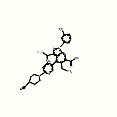 CCc1c(C(=O)O)nc2c(c(C(C)C)nn2-c2cccc(C)c2)c1-c1ccc(N2CCC(C#N)CC2)nc1